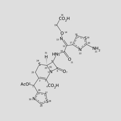 CC(=O)OC(C1=C(C(=O)O)N2C(=O)C(NC(=O)C(=NOCC(=O)O)c3csc(N)n3)[C@@H]2SC1)c1cscn1